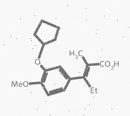 CCC(=C(C)C(=O)O)c1ccc(OC)c(OC2CCCC2)c1